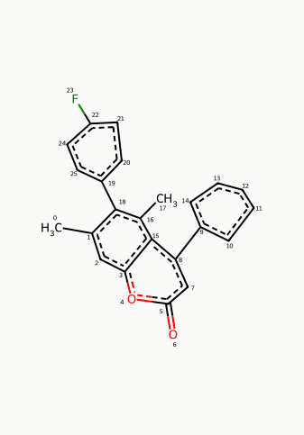 Cc1cc2oc(=O)cc(-c3ccccc3)c2c(C)c1-c1ccc(F)cc1